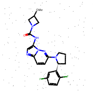 COC1CN(C(=O)Nc2cnc3ccc(N4CCC[C@@H]4c4cc(F)ccc4F)nn23)C1